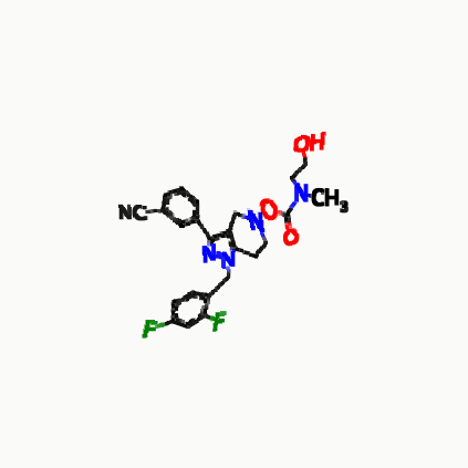 CN(CCO)C(=O)ON1CCc2c(c(-c3cccc(C#N)c3)nn2Cc2ccc(F)cc2F)C1